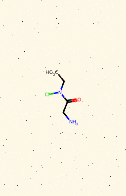 NCC(=O)N(Cl)CC(=O)O